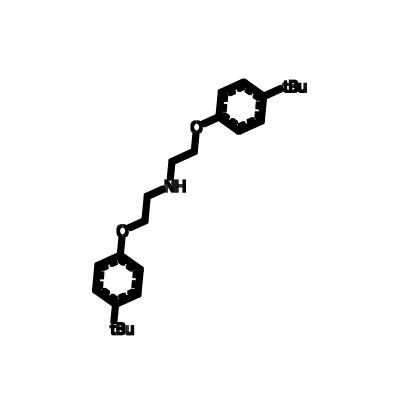 CC(C)(C)c1ccc(OCCNCCOc2ccc(C(C)(C)C)cc2)cc1